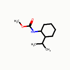 COC(=O)NC1CCCCC1C(C)C